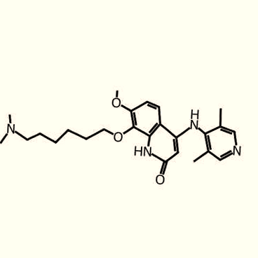 COc1ccc2c(Nc3c(C)cncc3C)cc(=O)[nH]c2c1OCCCCCCN(C)C